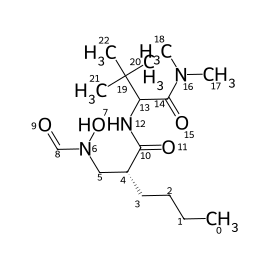 CCCC[C@H](CN(O)C=O)C(=O)NC(C(=O)N(C)C)C(C)(C)C